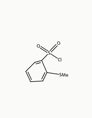 CSc1ccccc1S(=O)(=O)Cl